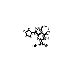 CCCN(CCC)c1nc2c(C3CCCC3)nn(C)c2c(=O)[nH]1